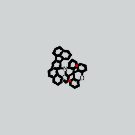 c1ccc2c(c1)Oc1ccccc1C21c2ccccc2N(c2c3c(cc4ccc5ccccc5c24)-c2cccc4cccc-3c24)c2ccccc21